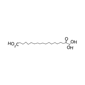 O=C(O)CCCCCCCCCCCCCCCCC(=O)C(O)O